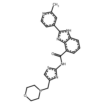 Cc1cc(-c2nc3c(C(=O)Nc4nc(CN5CCOCC5)cs4)cccc3[nH]2)ccn1